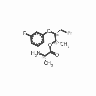 CC(C)C[C@@H](Oc1cccc(F)c1)[C@H](C)OC(=O)[C@H](C)N